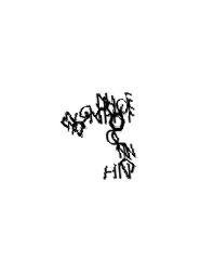 Cn1cc(NC(=O)c2cnn3cccnc23)c(-c2cc(Oc3cnn([C@H]4CCNC4)c3)ccc2OC(F)F)n1